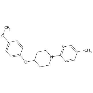 Cc1ccc(N2CCC(Oc3ccc(OC(F)(F)F)cc3)CC2)nc1